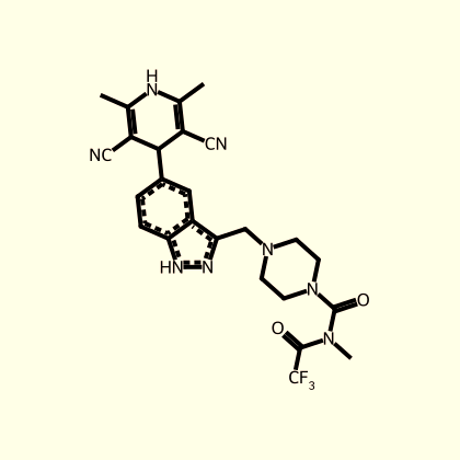 CC1=C(C#N)C(c2ccc3[nH]nc(CN4CCN(C(=O)N(C)C(=O)C(F)(F)F)CC4)c3c2)C(C#N)=C(C)N1